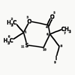 CC1(C)OC(=O)C(C)(CI)CS1